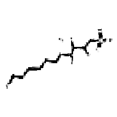 O=S(=O)([O-])CC(F)C(F)C(F)CCCCCCCF.[Na+]